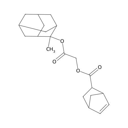 CC1(OC(=O)COC(=O)C2CC3C=CC2C3)C2CC3CC(C2)CC1C3